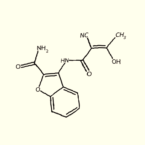 C/C(O)=C(\C#N)C(=O)Nc1c(C(N)=O)oc2ccccc12